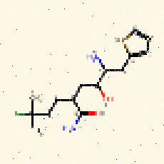 CC(C)(F)CCC(CC(O)C(N)Cc1cccs1)C(N)=O